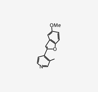 COc1ccc2oc(-c3ccncc3C)cc2c1